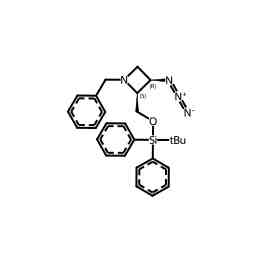 CC(C)(C)[Si](OC[C@@H]1[C@H](N=[N+]=[N-])CN1Cc1ccccc1)(c1ccccc1)c1ccccc1